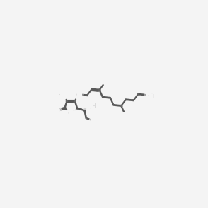 CC(=CCOC1=C(O)C(=O)O[C@@H]1[C@@H](O)CO)CCCC(C)CCCC(C)C